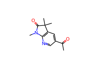 CC(=O)c1cnc2c(c1)C(C)(C)C(=O)N2C